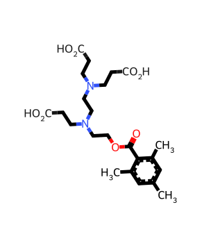 Cc1cc(C)c(C(=O)OCCN(CCC(=O)O)CCN(CCC(=O)O)CCC(=O)O)c(C)c1